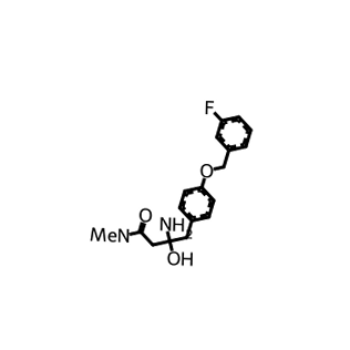 CNC(=O)CC(N)(O)Cc1ccc(OCc2cccc(F)c2)cc1